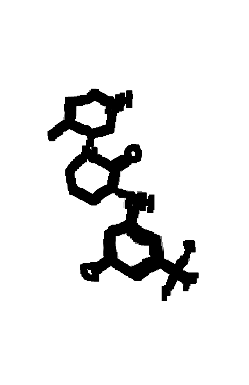 CC1CCNC[C@@H]1N1CCC[C@@H](Nc2cc(Cl)cc(C(F)(F)F)c2)C1=O